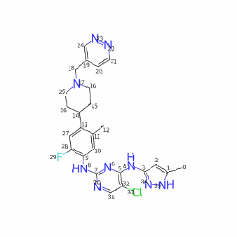 Cc1cc(Nc2nc(Nc3cc(C)c(C4CCN(Cc5ccnnc5)CC4)cc3F)ncc2Cl)n[nH]1